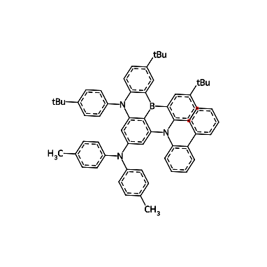 Cc1ccc(N(c2ccc(C)cc2)c2cc3c4c(c2)N(c2ccccc2-c2ccccc2)c2ccc(C(C)(C)C)cc2B4c2cc(C(C)(C)C)ccc2N3c2ccc(C(C)(C)C)cc2)cc1